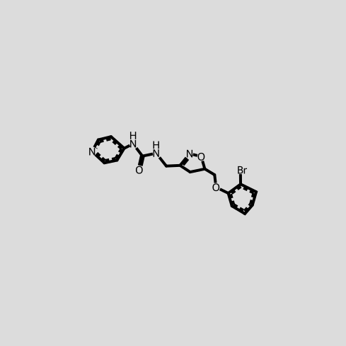 O=C(NCC1=NOC(COc2ccccc2Br)C1)Nc1ccncc1